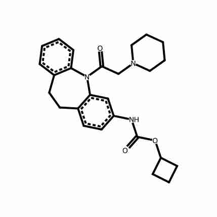 O=C(Nc1ccc2c(c1)N(C(=O)CN1CCCCC1)c1ccccc1CC2)OC1CCC1